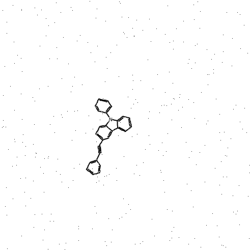 C(#Cc1ccc2c(c1)c1ccccc1n2-c1ccccc1)c1ccccc1